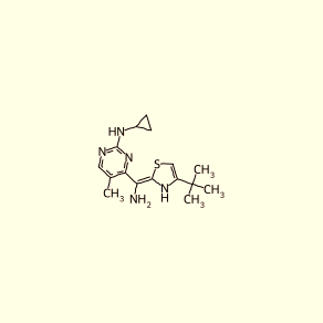 Cc1cnc(NC2CC2)nc1/C(N)=C1/NC(C(C)(C)C)=CS1